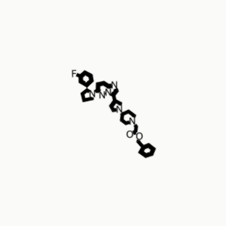 O=C(CN1CCC(N2CC=C(c3cnc4ccc(N5CCC[C@@H]5c5cccc(F)c5)nn34)C2)CC1)OCc1ccccc1